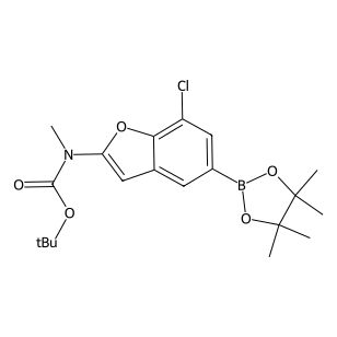 CN(C(=O)OC(C)(C)C)c1cc2cc(B3OC(C)(C)C(C)(C)O3)cc(Cl)c2o1